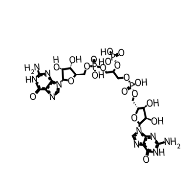 Nc1nc2c(ncn2C2O[C@H](COP(=O)(O)OCC(COP(=O)(O)OC[C@H]3O[C@@H](n4cnc5c(=O)[nH]c(N)nc54)[C@H](O)[C@@H]3O)OP(=O)(O)O)[C@@H](O)[C@H]2O)c(=O)[nH]1